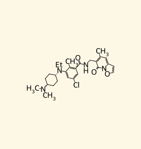 CCN(c1cc(Cl)cc(C(=O)NCc2c(C)cc3ccon3c2=O)c1C)[C@H]1CC[C@H](N(C)C)CC1